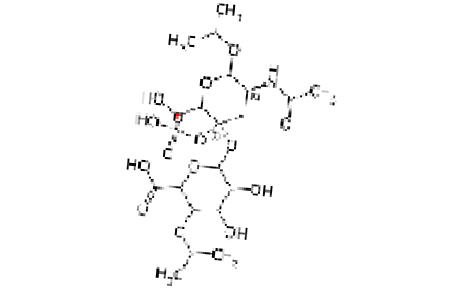 CC(=O)N[C@H]1C[C@@](OC2OC(C(=O)O)C(OC(C)C)C(O)C2O)(OS(=O)(=O)O)C(CO)OC1OC(C)C